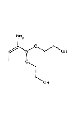 CC=C(N)N(OCCO)OCCO